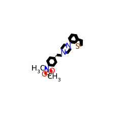 CN([C@H]1CC[C@H](CCN2CCN(c3cccc4ccsc34)CC2)CC1)S(C)(=O)=O